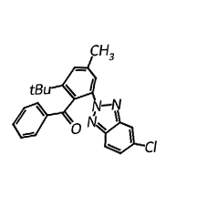 Cc1cc(-n2nc3ccc(Cl)cc3n2)c(C(=O)c2ccccc2)c(C(C)(C)C)c1